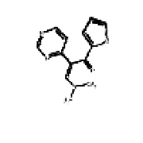 CN(C)C=C(C(=O)c1ccco1)c1ccncn1